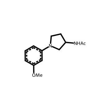 COc1cccc(N2CCC(NC(C)=O)C2)c1